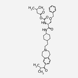 CC(C)CC(=O)OC(=O)N[C@@H](COCc1ccccc1)C(=O)NC1CCC(CCN2CCc3ccc(C(=O)C(C)C)cc3CC2)CC1